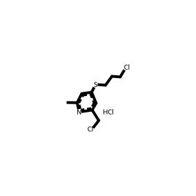 Cc1cc(SCCCCl)cc(CCl)n1.Cl